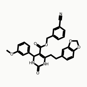 COc1cccc(C2NC(=O)NC(CCc3ccc4c(c3)OCO4)=C2C(=O)OCc2cccc(C#N)c2)c1